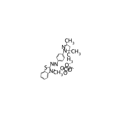 CC1=NN(c2ccc(N=Nc3sc4ccccc4[n+]3C)cc2)C(C)(C)C1.[O-][Cl+3]([O-])([O-])[O-]